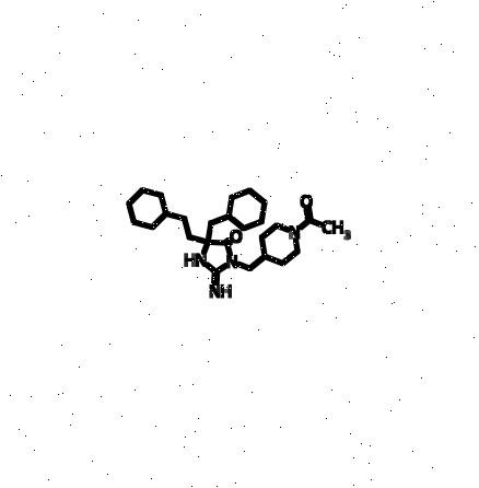 CC(=O)N1CCC(CN2C(=N)NC(CCC3CCCCC3)(CC3CCCCC3)C2=O)CC1